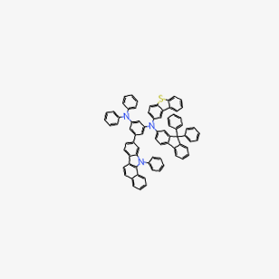 c1ccc(N(c2ccccc2)c2cc(-c3ccc4c5ccc6ccccc6c5n(-c5ccccc5)c4c3)cc(N(c3ccc4c(c3)C(c3ccccc3)(c3ccccc3)c3ccccc3-4)c3ccc4sc5ccccc5c4c3)c2)cc1